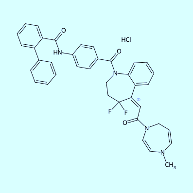 CN1C=CCN(C(=O)/C=C2/c3ccccc3N(C(=O)c3ccc(NC(=O)c4ccccc4-c4ccccc4)cc3)CCC2(F)F)C=C1.Cl